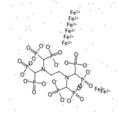 O=P([O-])([O-])C(N(CCN(C(P(=O)([O-])[O-])P(=O)([O-])[O-])C(P(=O)([O-])[O-])P(=O)([O-])[O-])C(P(=O)([O-])[O-])P(=O)([O-])[O-])P(=O)([O-])[O-].[Fe+2].[Fe+2].[Fe+2].[Fe+2].[Fe+2].[Fe+2].[Fe+2].[Fe+2]